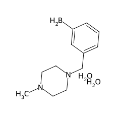 Bc1cccc(CN2CCN(C)CC2)c1.O.O